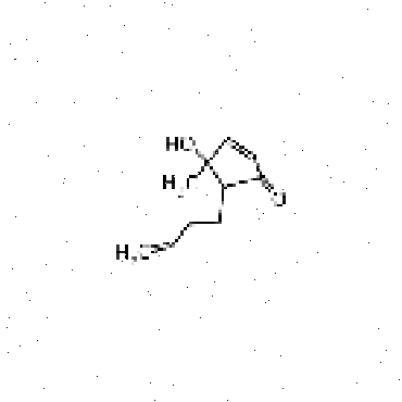 C=CCCC1C(=O)C=CC1(C)O